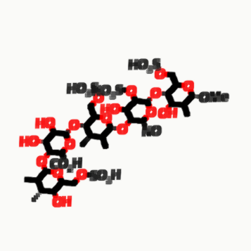 CO[C@H]1OC(COS(=O)(=O)O)[C@@H](O[C@@H]2O[C@@H](N=O)[C@@H](O[C@H]3OC(COS(=O)(=O)O)[C@@H](O[C@@H]4OC(C(=O)O)[C@@H](O[C@H]5OC(COS(=O)(=O)O)[C@@H](O)[C@H](C)C5C)[C@H](O)C4O)[C@H](C)C3C)C(O)C2OS(=O)(=O)O)[C@H](O)C1C